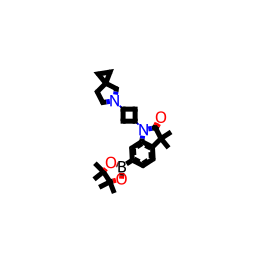 CC1(C)C(=O)N([C@H]2C[C@@H](N3CCC4(CC4)C3)C2)c2cc(B3OC(C)(C)C(C)(C)O3)ccc21